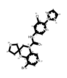 O=C(Nc1cnc(-n2nccn2)c(Cl)c1)N1CC2(CCOC2)Oc2c(Br)cncc21